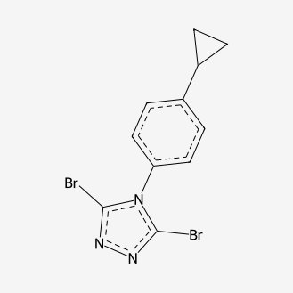 Brc1nnc(Br)n1-c1ccc(C2CC2)cc1